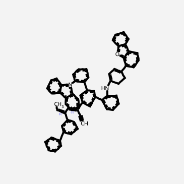 C#C/C(=C\C(=C/C)c1cccc(-c2ccccc2)c1)c1cc(-c2ccccc2NC2=CC=C(c3cccc4c3oc3ccccc34)CC2)cc(-c2ccccc2-n2c3ccccc3c3ccccc32)c1